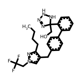 CCCCc1nn(CC(F)(F)F)cc1Cc1ccc(-c2ccccc2C2(CO)N=NNN2)cc1